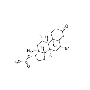 CC(=O)O[C@H]1CC[C@H]2[C@@H]3C[C@@H](Br)C4=CC(=O)CC[C@]4(C)[C@H]3[C@@H](F)C[C@]12C